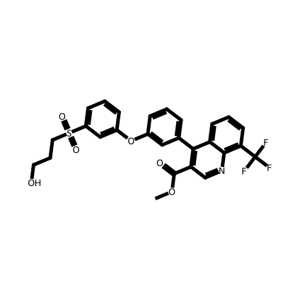 COC(=O)c1cnc2c(C(F)(F)F)cccc2c1-c1cccc(Oc2cccc(S(=O)(=O)CCCO)c2)c1